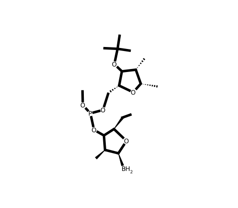 B[C@@H]1O[C@H](CC)C(OP(OC)OC[C@H]2O[C@@H](C)[C@@H](C)C2OC(C)(C)C)[C@@H]1C